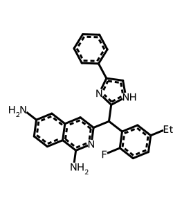 CCc1ccc(F)c(C(c2cc3cc(N)ccc3c(N)n2)c2nc(-c3ccccc3)c[nH]2)c1